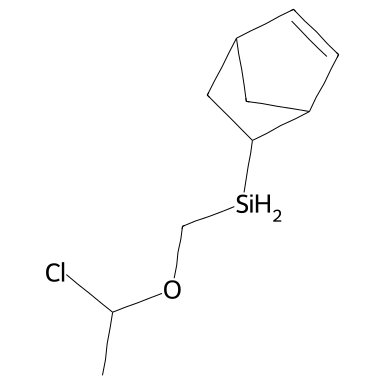 CC(Cl)OC[SiH2]C1CC2C=CC1C2